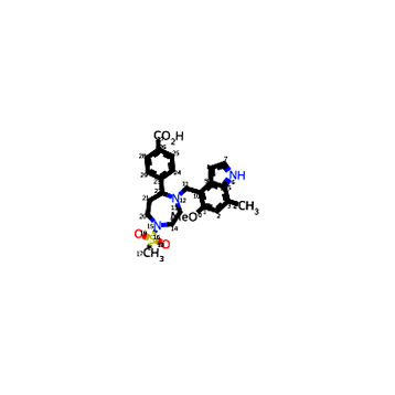 COc1cc(C)c2[nH]ccc2c1CN1CCN(S(C)(=O)=O)CCC1c1ccc(C(=O)O)cc1